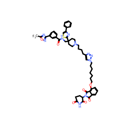 O=C1CCC(N2C(=O)c3cccc(OCCCCCCCn4cc(CCCCN5CCC(CNC(=O)c6cccc(-c7noc(C(F)(F)F)n7)c6)(c6nc(-c7ccccc7)cs6)CC5)nn4)c3C2=O)C(=O)N1